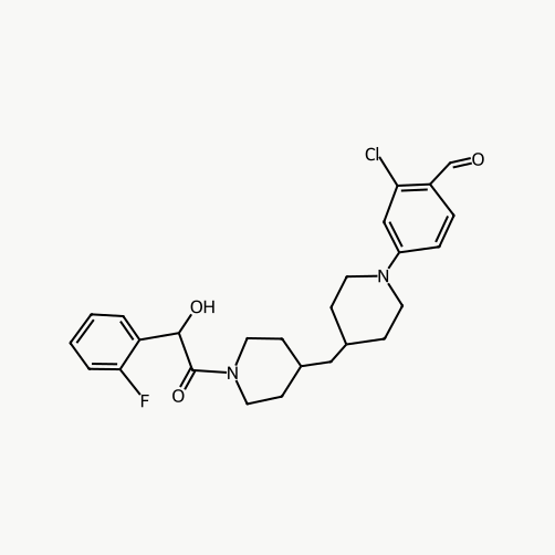 O=Cc1ccc(N2CCC(CC3CCN(C(=O)C(O)c4ccccc4F)CC3)CC2)cc1Cl